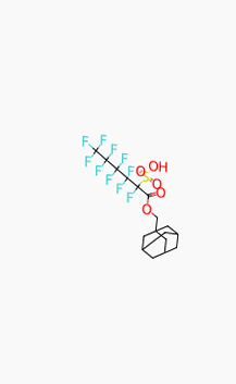 O=C(OCC12CC3CC(CC(C3)C1)C2)C(F)(C(F)(F)C(F)(F)C(F)(F)C(F)(F)F)S(=O)(=O)O